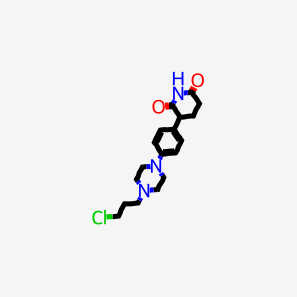 O=C1CCC(c2ccc(N3CCN(CCCCl)CC3)cc2)C(=O)N1